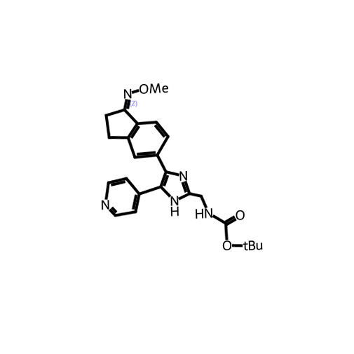 CO/N=C1/CCc2cc(-c3nc(CNC(=O)OC(C)(C)C)[nH]c3-c3ccncc3)ccc21